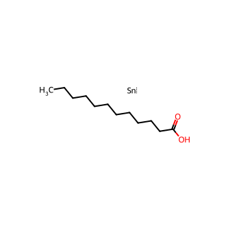 CCCCCCCCCCCC(=O)O.[Sn]